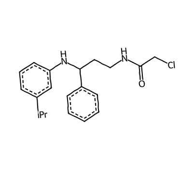 CC(C)c1cccc(NC(CCNC(=O)CCl)c2ccccc2)c1